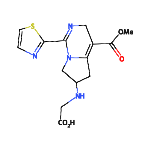 COC(=O)C1=C2CC(NCC(=O)O)CN2C(c2nccs2)=NC1